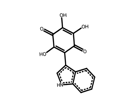 O=C1C(O)=C(O)C(=O)C(c2c[nH]c3ccccc23)=C1O